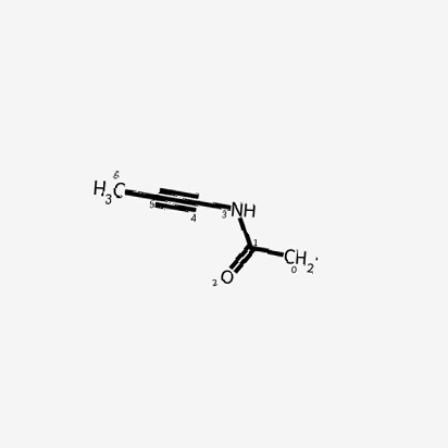 [CH2]C(=O)NC#CC